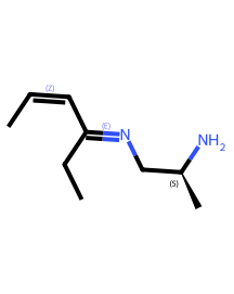 C/C=C\C(CC)=N\C[C@H](C)N